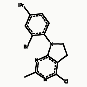 Cc1nc(Cl)c2c(n1)N(c1ccc(C(C)C)cc1Br)CC2